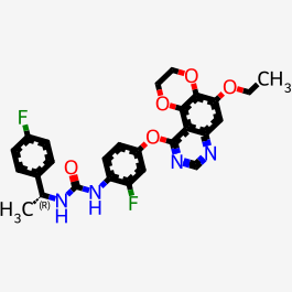 CCOc1cc2ncnc(Oc3ccc(NC(=O)N[C@H](C)c4ccc(F)cc4)c(F)c3)c2c2c1OCCO2